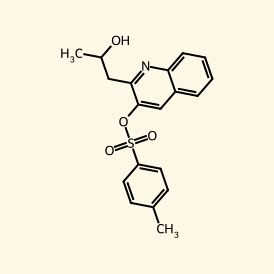 Cc1ccc(S(=O)(=O)Oc2cc3ccccc3nc2CC(C)O)cc1